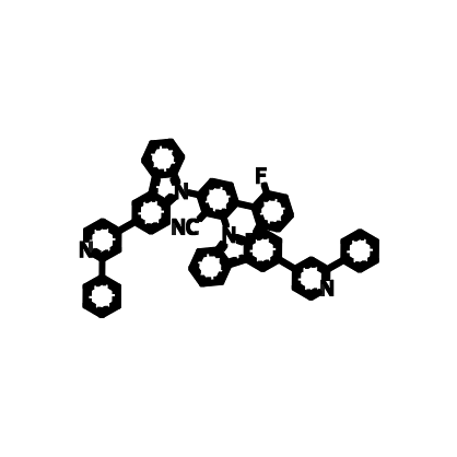 N#Cc1c(-n2c3ccccc3c3cc(-c4ccnc(-c5ccccc5)c4)ccc32)ccc(-c2c(F)cccc2F)c1-n1c2ccccc2c2cc(-c3ccnc(-c4ccccc4)c3)ccc21